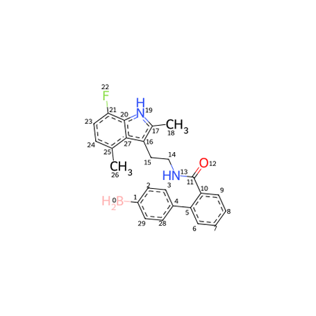 Bc1ccc(-c2ccccc2C(=O)NCCc2c(C)[nH]c3c(F)ccc(C)c23)cc1